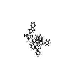 CCC(C)N(C)/C(=N\C(=N)c1ccc2c(c1)sc1ccccc12)c1cc(-c2ccccc2)c(-n2c3ccc(-c4ccccc4)cc3c3cc(-c4ccccc4)cc(-c4ccccc4)c32)c(-c2ccccc2)c1